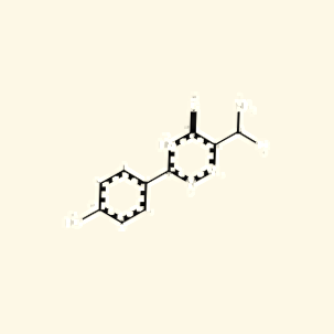 CCC(N)c1nnc(-c2ccc(O)cc2)[nH]c1=O